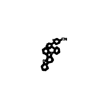 N#Cc1ccc(-c2ccccc2-c2ccccc2-n2c3ccccc3c3c4oc5ccccc5c4ccc32)nc1